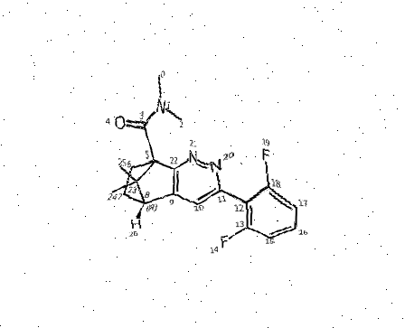 CN(C)C(=O)C12CC[C@@H](c3cc(-c4c(F)cccc4F)nnc31)C2(C)C